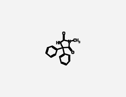 CN1C(=O)NC(c2ccccc2)(c2ccccc2)C1=O